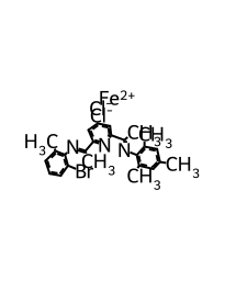 C/C(=N\c1c(C)cc(C)cc1C)c1cccc(/C(C)=N/c2c(C)cccc2Br)n1.[Cl-].[Cl-].[Fe+2]